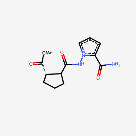 COC(=O)[C@H]1CCCC1C(=O)Nn1cccc1C(N)=O